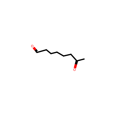 CC(=O)CCCCC[C]=O